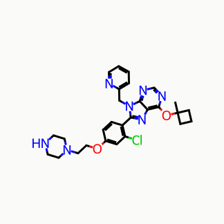 CC1(Oc2ncnc3c2nc(-c2ccc(OCCN4CCNCC4)cc2Cl)n3Cc2ccccn2)CCC1